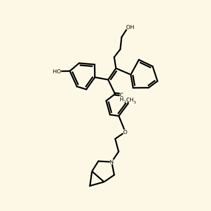 C=C(/C=C\C(=C/C)OCCN1CC2CC2C1)/C(=C(/CCCO)c1ccccc1)c1ccc(O)cc1